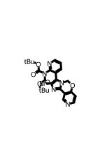 CC(C)(C)OC(=O)N(C(=O)OC(C)(C)C)c1ncccc1-c1c(Br)nc2n1COc1ccncc1-2